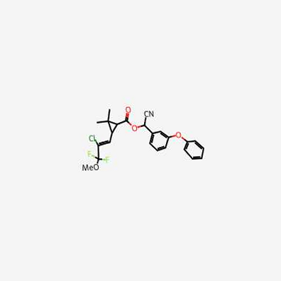 COC(F)(F)C(Cl)=CC1C(C(=O)OC(C#N)c2cccc(Oc3ccccc3)c2)C1(C)C